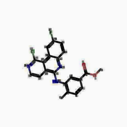 COC(=O)c1ccc(C)c(Nc2nc3ccc(F)cc3c3c(Cl)nccc23)c1